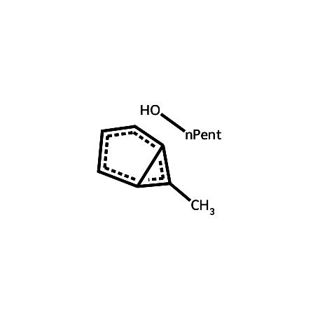 CCCCCO.Cc1c2cccc1-2